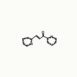 O=C(C=Cc1ccccn1)c1ccccn1